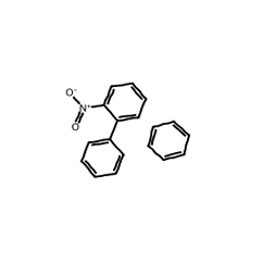 O=[N+]([O-])c1ccccc1-c1ccccc1.c1ccccc1